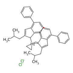 CC(C)CC1=Cc2c(-c3ccccc3)cccc2[CH]1[Hf+2]1([CH]2C(CC(C)C)=Cc3c(-c4ccccc4)cccc32)[CH2][CH2]1.[Cl-].[Cl-]